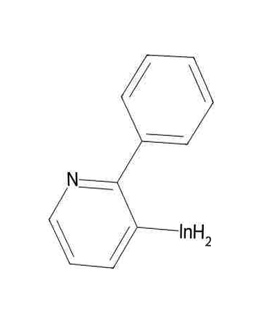 [InH2][c]1cccnc1-c1ccccc1